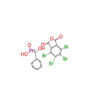 O=C1OC(=O)c2c(Br)c(Br)c(Br)c(Br)c21.O=[PH](O)C(O)c1ccccc1